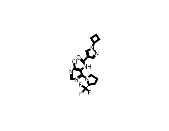 O=C(Nc1c(Cl)ncnc1N1CCC[C@@H]1C(F)(F)F)c1cnn(C2CCC2)c1